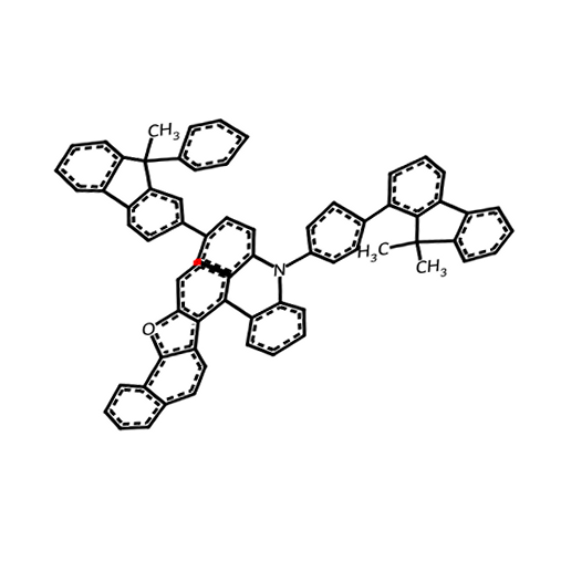 CC1(C)c2ccccc2-c2cccc(-c3ccc(N(c4ccc(-c5ccc6c(c5)C(C)(c5ccccc5)c5ccccc5-6)cc4)c4ccccc4-c4cccc5oc6c7ccccc7ccc6c45)cc3)c21